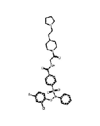 O=C(NCC(=O)N1CCC(CCN2CCCC2)CC1)c1ccc(S(=O)(=O)N(Oc2ccc(F)cc2Cl)c2ccccc2)cc1